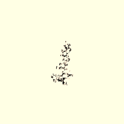 CCN(NC(=O)c1ccccc1)c1cccc(CCC(O)CNC(=O)Cc2ccc(N3CCCC3=O)cc2)c1